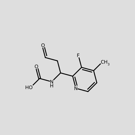 Cc1ccnc(C(CC=O)NC(=O)O)c1F